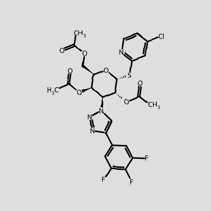 CC(=O)OC[C@H]1O[C@H](Sc2cc(Cl)ccn2)[C@H](OC(C)=O)[C@@H](n2cc(-c3cc(F)c(F)c(F)c3)nn2)[C@H]1OC(C)=O